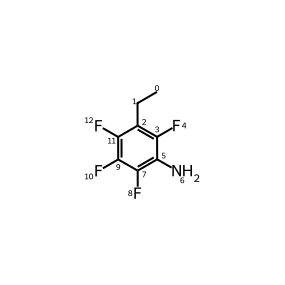 CCc1c(F)c(N)c(F)c(F)c1F